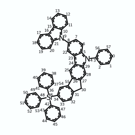 c1ccc(-n2c3ccc(-n4c5ccccc5c5ccccc54)cc3c3cc4c(cc32)Cc2ccc([Si](c3ccccc3)(c3ccccc3)c3ccccc3)cc2-4)cc1